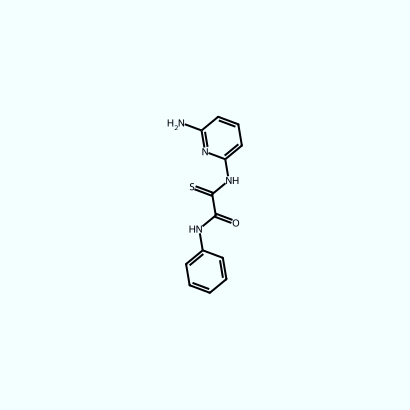 Nc1cccc(NC(=S)C(=O)Nc2ccccc2)n1